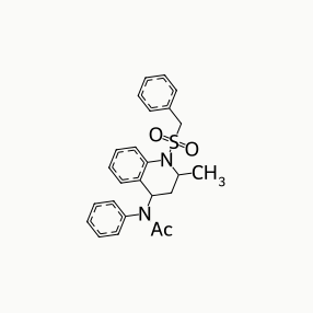 CC(=O)N(c1ccccc1)C1CC(C)N(S(=O)(=O)Cc2ccccc2)c2ccccc21